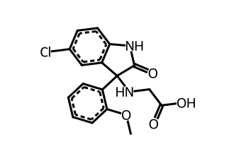 COc1ccccc1C1(NCC(=O)O)C(=O)Nc2ccc(Cl)cc21